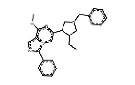 CCC1CN(Cc2ccccc2)CC1c1cn2c(-c3ccccc3)ncc2c(OC)n1